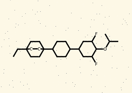 CCC12CCC(C3CCC(C4CC(F)C(OC(C)C)C(F)C4)CC3)(CC1)CC2